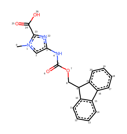 Cn1cc(NC(=O)OCC2c3ccccc3-c3ccccc32)nc1C(=O)O